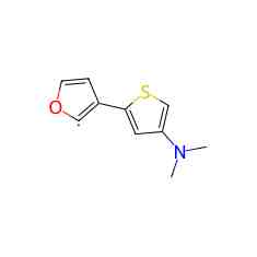 CN(C)c1csc(-c2[c]occ2)c1